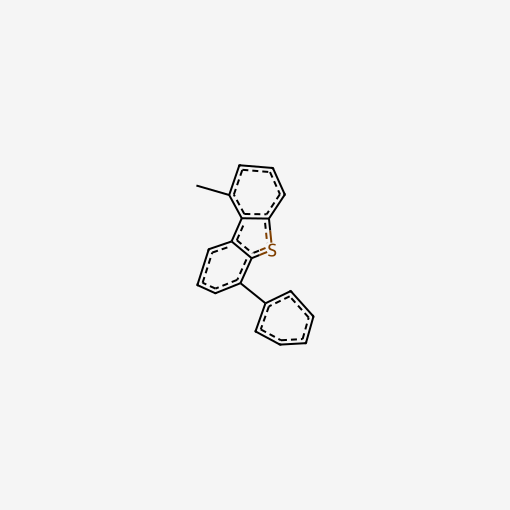 Cc1cccc2sc3c(-c4ccccc4)cccc3c12